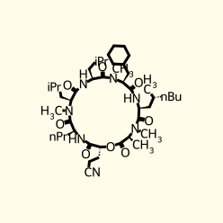 CCCC[C@@H](C)C[C@@H]1NC(=O)[C@H](CC2CCCCC2)N(C)C(=O)[C@H](CC(C)C)NC(=O)[C@H](CC(C)C)N(C)C(=O)[C@H](CCC)NC(=O)[C@@H](CCC#N)OC(=O)[C@H](C)N(C)C1=O